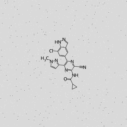 Cn1ccc(-c2nc(NC(=O)C3CC3)c(C#N)nc2-c2cc(Cl)c3[nH]ncc3c2)n1